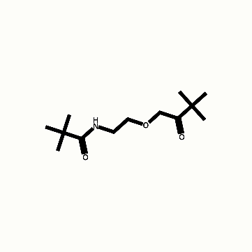 CC(C)(C)C(=O)COCCNC(=O)C(C)(C)C